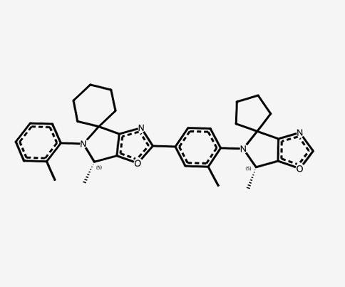 Cc1cc(-c2nc3c(o2)[C@H](C)N(c2ccccc2C)C32CCCCC2)ccc1N1[C@@H](C)c2ocnc2C12CCCC2